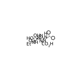 CCC(=O)N[C@H]1C[C@@H](n2cnc3c(NCC(c4ccccc4)c4ccccc4)nc(C(=O)O)nc32)C(O)C1O